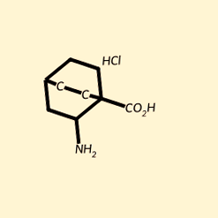 Cl.NC1CC2CCC1(C(=O)O)CC2